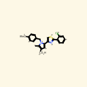 COc1ccc(Cn2c(-c3csc(-c4ccccc4Cl)n3)cc(C(=O)O)c2C)cc1